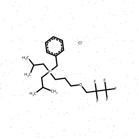 CC(C)C[P+](CCCOCC(F)(F)C(F)(F)F)(Cc1ccccc1)CC(C)C.[Cl-]